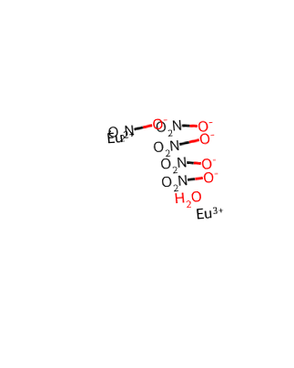 O.O=[N+]([O-])[O-].O=[N+]([O-])[O-].O=[N+]([O-])[O-].O=[N+]([O-])[O-].O=[N+]([O-])[O-].[Eu+2].[Eu+3]